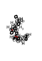 CC(=O)NS(=O)(=O)c1cc2c(-c3ccccc3S(=O)(=O)O)c3cc(C)c(Nc4c(C)cc(C)c(NC(=O)Nc5ccccc5)c4C)cc3oc-2c/c1=N/c1c(C)cc(C)c(NC(=O)Nc2cccc(S(=O)(=O)O)c2)c1C